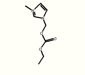 CCOC(=O)OCn1cc[n+](C)c1